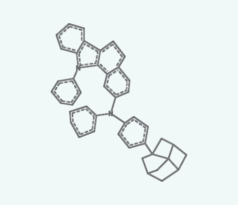 c1ccc(N(c2ccc(C34CC5CC6CC(C3)C64C5)cc2)c2ccc3ccc4c5ccccc5n(-c5ccccc5)c4c3c2)cc1